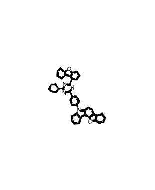 c1ccc(-c2nc(-c3ccc(-n4c5ccccc5c5c6oc7ccccc7c6ccc54)cc3)nc(-c3cccc4oc5ccccc5c34)n2)cc1